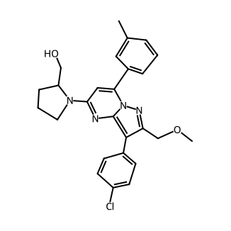 COCc1nn2c(-c3cccc(C)c3)cc(N3CCCC3CO)nc2c1-c1ccc(Cl)cc1